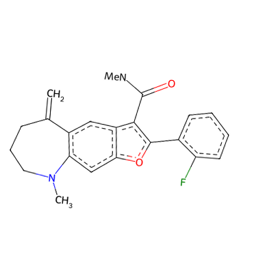 C=C1CCCN(C)c2cc3oc(-c4ccccc4F)c(C(=O)NC)c3cc21